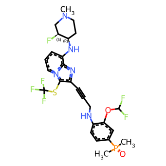 CN1CC[C@@H](Nc2cccn3c(SC(F)(F)F)c(C#CCNc4ccc(P(C)(C)=O)cc4OC(F)F)nc23)[C@@H](F)C1